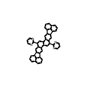 c1cnc(-c2cc3c4cc5c(cc4c(-c4ncccn4)cc3c3cc4c(cc23)-c2cccc3cccc-4c23)-c2cccc3cccc-5c23)nc1